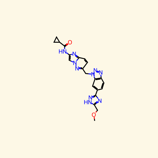 COCc1nc(-c2ccc3nnn(Cc4ccc5nc(NC(=O)C6CC6)cn5n4)c3c2)n[nH]1